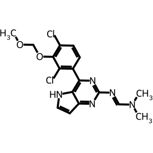 COCOc1c(Cl)ccc(-c2nc(N=CN(C)C)nc3cc[nH]c23)c1Cl